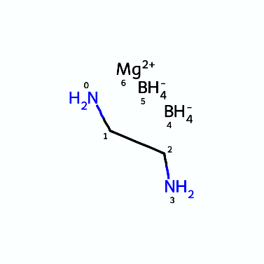 NCCN.[BH4-].[BH4-].[Mg+2]